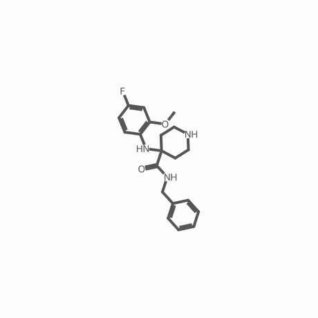 COc1cc(F)ccc1NC1(C(=O)NCc2ccccc2)CCNCC1